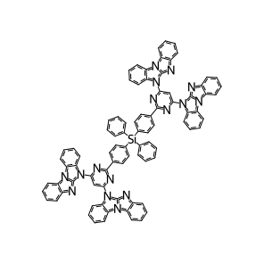 c1ccc([Si](c2ccccc2)(c2ccc(-c3nc(-n4c5ccccc5n5c6ccccc6nc45)cc(-n4c5ccccc5n5c6ccccc6nc45)n3)cc2)c2ccc(-c3nc(-n4c5ccccc5n5c6ccccc6nc45)cc(-n4c5ccccc5n5c6ccccc6nc45)n3)cc2)cc1